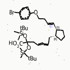 CC(C)(C)[Si](C)(C)OC(CC=C=CC[C@H]1CCC[C@@H]1/C=C/CCOc1ccc(Br)cc1)(O[Si](C)(C)C(C)(C)C)C(=O)O